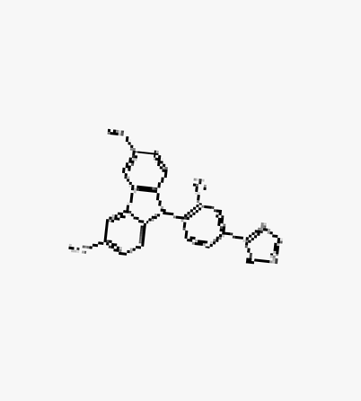 COc1ccc2c(c1)c1cc(OC)ccc1n2-c1ccc(-c2nnn[nH]2)cc1C(F)(F)F